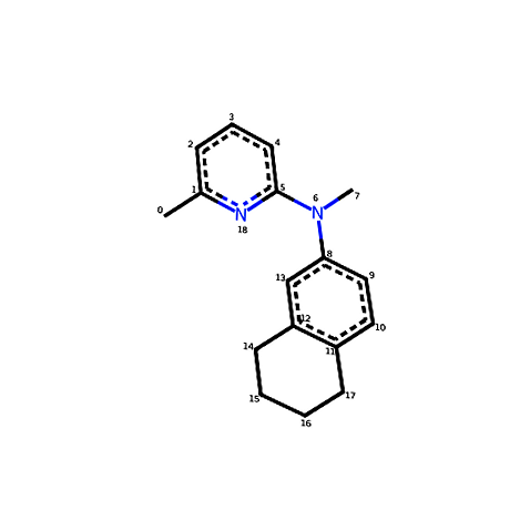 Cc1cccc(N(C)c2ccc3c(c2)CCCC3)n1